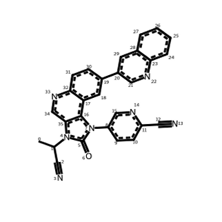 CC(C#N)n1c(=O)n(-c2ccc(C#N)nc2)c2c3cc(-c4cnc5ccccc5c4)ccc3ncc21